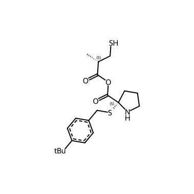 C[C@H](CS)C(=O)OC(=O)[C@@]1(SCc2ccc(C(C)(C)C)cc2)CCCN1